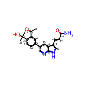 CC(=O)c1cc(-c2cnc3[nH]cc(C=CC(N)=O)c3c2)ccc1C(C)(C)O